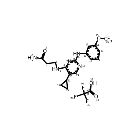 NC(=O)CCNc1nc(Nc2cccc(OC(F)(F)F)c2)ncc1C1CC1.O=C(O)C(F)(F)F